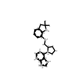 CC1(C)Cc2cccc(OCC3CCCN3c3ncnc4[nH]cnc34)c2O1